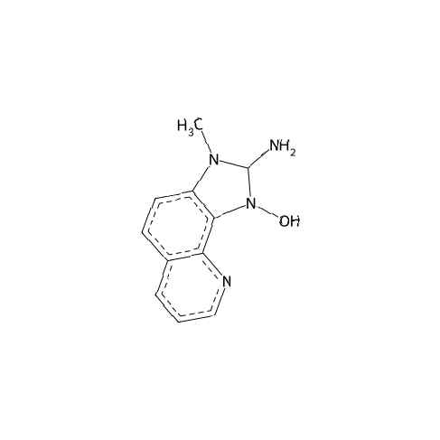 CN1c2ccc3cccnc3c2N(O)C1N